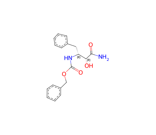 NC(=O)[C@H](O)[C@@H](Cc1ccccc1)NC(=O)OCc1ccccc1